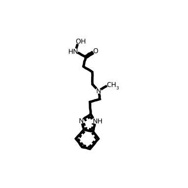 CN(CCCC(=O)NO)CCc1nc2ccccc2[nH]1